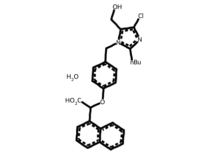 CCCCc1nc(Cl)c(CO)n1Cc1ccc(OC(C(=O)O)c2cccc3ccccc23)cc1.O